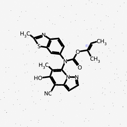 C/C=C(\C)OC(=O)N(c1ccc2nc(C)sc2c1)c1c(C)c(O)c(C#N)c2ccnn12